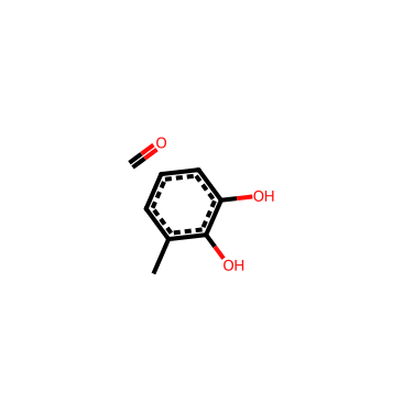 C=O.Cc1cccc(O)c1O